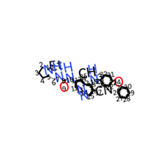 CCN1CCC[C@H]1CNC(=O)Nc1cn2ncc(C#N)c(Nc3ccc(Oc4ccccc4)cc3)c2c1C